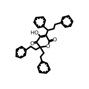 O=C1OC(CCc2ccccc2)(CCc2ccccc2)C(=O)C(O)=C1C(CCc1ccccc1)c1ccccc1